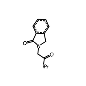 CC(C)C(=O)CN1Cc2ccccc2C1=O